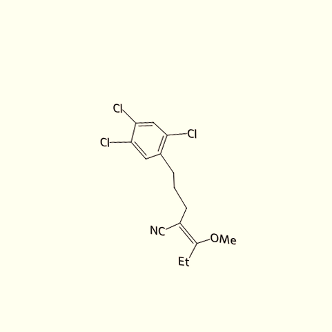 CC/C(OC)=C(\C#N)CCCc1cc(Cl)c(Cl)cc1Cl